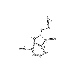 C=CCC1Oc2c(OC)cccc2C1=O